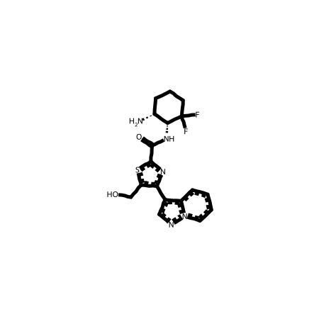 N[C@@H]1CCCC(F)(F)[C@@H]1NC(=O)c1nc(-c2cnn3ccccc23)c(CO)s1